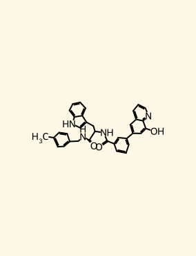 Cc1ccc(CNC(=O)C(Cc2c[nH]c3ccccc23)NC(=O)c2cccc(-c3cc(O)c4ncccc4c3)c2)cc1